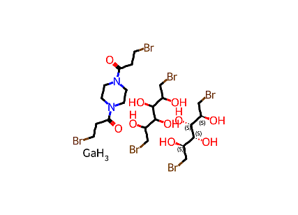 O=C(CCBr)N1CCN(C(=O)CCBr)CC1.OC(CBr)C(O)C(O)C(O)CBr.O[C@@H]([C@H](O)[C@H](O)CBr)[C@H](O)CBr.[GaH3]